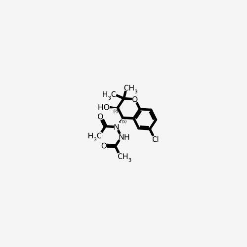 CC(=O)NN(C(C)=O)[C@H]1c2cc(Cl)ccc2OC(C)(C)[C@@H]1O